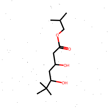 CC(C)COC(=O)CC(O)CC(O)C(C)(C)C